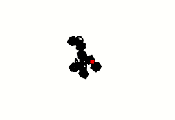 c1ccc(-c2ccc3c4cc(-c5ccc6oc7ccccc7c6c5)ccc4n(-c4nc(-c5ccccc5)c5ccccc5n4)c3c2)cc1